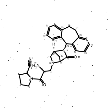 N#CC1CCCN1C(=O)C(N)CN1C[C@@H]2CC1C(=O)N2C1c2ccccc2CCc2ccccc21